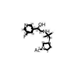 CC(=O)N1CC[C@H](CC(C)(C)NC[C@H](O)c2cncc(F)c2)C1